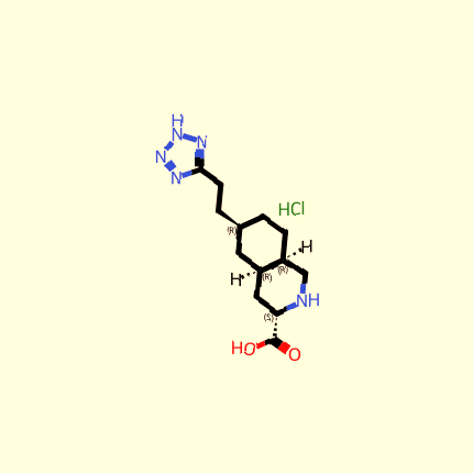 Cl.O=C(O)[C@@H]1C[C@H]2C[C@@H](CCc3nn[nH]n3)CC[C@H]2CN1